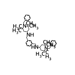 CC1(C)CC(NCc2cccc(CNC3CC(C)(C)N(Cc4ccccc4)C(C)(C)C3)c2)CC(C)(C)N1Cc1ccccc1